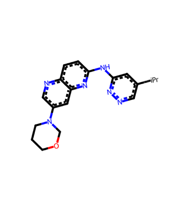 CC(C)c1cnnc(Nc2ccc3ncc(N4CCCOC4)cc3n2)c1